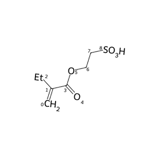 C=C(CC)C(=O)OCCS(=O)(=O)O